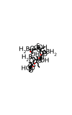 BC1CC(O)C(COP(O)(=S)OC(CC)(CCC)C2CC(B)OC2COP(=O)(O)OC(CC)(C(CC)CCC)C2CC(B)OC2CC(CC)(CC)OP(=O)(O)OC)O1